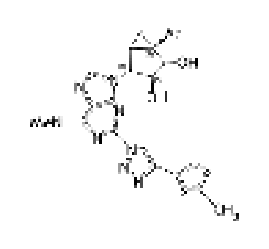 CNc1nc(-n2cc(-c3ccc(C)s3)nn2)nc2c1ncn2[C@@H]1C2C[C@]2(C(C)=O)C(O)[C@H]1O